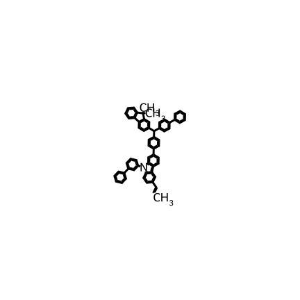 C/C=C/c1ccc2c(c1)c1ccc(-c3ccc(C(c4ccc(-c5ccccc5)cc4)c4ccc5c(c4)C(C)(C)c4ccccc4-5)cc3)cc1n2-c1cccc(-c2ccccc2)c1